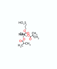 C=C(C)C(=O)OCC(CC)(COC(=O)C(=C)C)C(=O)OCCCS(=O)(=O)O.[NaH]